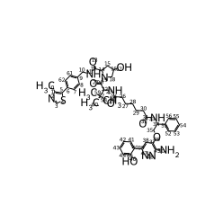 Cc1ncsc1-c1ccc(CNC(=O)C2CC(O)CN2C(=O)C(NC(=O)CCCCCC(=O)NC(COc2cc(-c3ccccc3O)nnc2N)c2ccccc2)C(C)(C)C)cc1